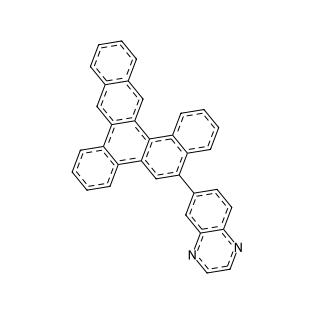 c1ccc2cc3c(cc2c1)c1ccccc1c1cc(-c2ccc4nccnc4c2)c2ccccc2c13